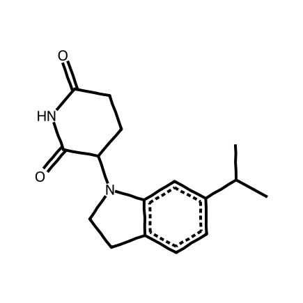 CC(C)c1ccc2c(c1)N(C1CCC(=O)NC1=O)CC2